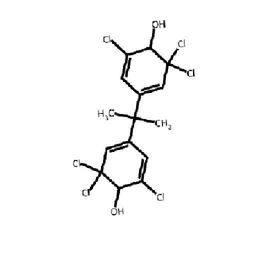 CC(C)(C1=CC(Cl)(Cl)C(O)C(Cl)=C1)C1=CC(Cl)(Cl)C(O)C(Cl)=C1